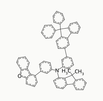 CC1(C)c2ccccc2-c2cccc(N(c3cccc(-c4ccc5c(c4)-c4ccccc4C5(c4ccccc4)c4ccccc4)c3)c3cccc(-c4cccc5oc6ccccc6c45)c3)c21